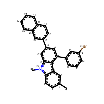 Cc1ccc2c(c1)c1c(-c3cccc(Br)c3)cc(-c3ccc4ccccc4c3)cc1n2C